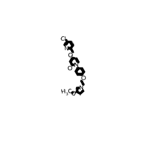 CO[C@@H]1CCN(CCOc2ccc(-n3ccc(OCc4ccc(Cl)cn4)cc3=O)cc2)C1